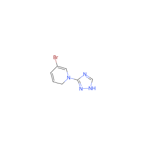 BrC1=CN(c2nc[nH]n2)CC=C1